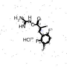 C/C(=C\c1c(F)ccc(F)c1F)C(=O)ONC(=N)N.Cl